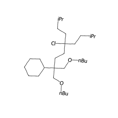 CCCCOCC(CCC(Cl)(CCC(C)C)CCC(C)C)(COCCCC)C1CCCCC1